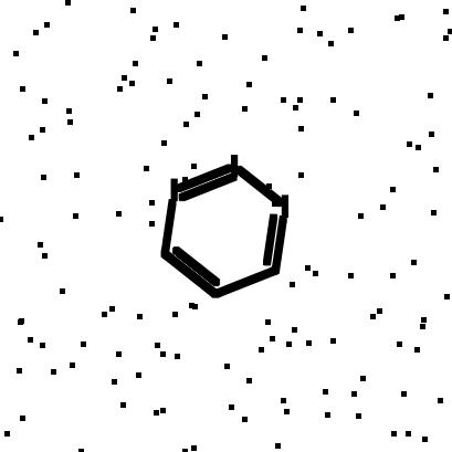 C1=CI=II=C1